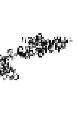 CC(=C1CC[C@H]2[C@@H]3CCC4CC(=O)C=C[C@]4(C)[C@H]3CC[C@]12C)[SH](CCNC(=O)CCNC(=O)C(O)C(C)(C)COP(=O)(O)OP(=O)(O)OC[C@H]1O[C@@H](n2cnc3c(N)ncnc32)[C@H](O)[C@@H]1OP(=O)(O)O)C(=O)O